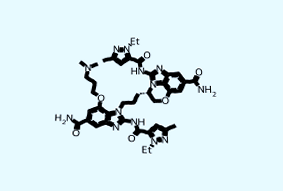 CCn1nc(C)cc1C(=O)Nc1nc2cc(C(N)=O)cc(OCCCN(C)C)c2n1CCC[C@H]1COc2cc(C(N)=O)cc3nc(NC(=O)c4cc(C)nn4CC)n1c23